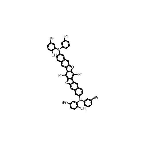 Cc1ccc(C(C)C)cc1N(c1cccc(C(C)C)c1)c1ccc2cc3c(cc2c1)oc1c(C(C)C)c2c(oc4cc5cc(N(c6cccc(C(C)C)c6)c6cc(C(C)C)ccc6C)ccc5cc42)c(C(C)C)c13